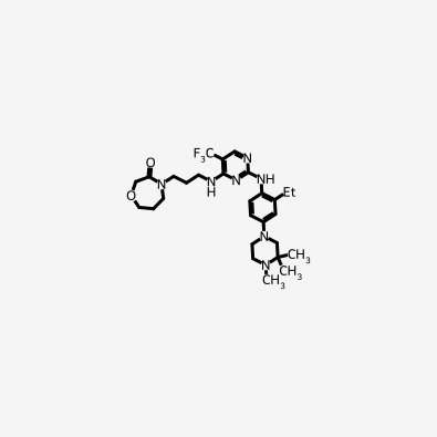 CCc1cc(N2CCN(C)C(C)(C)C2)ccc1Nc1ncc(C(F)(F)F)c(NCCCN2CCCOCC2=O)n1